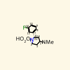 CNC1CCN(C(=O)O)[C@H](c2cccc(F)c2)C1